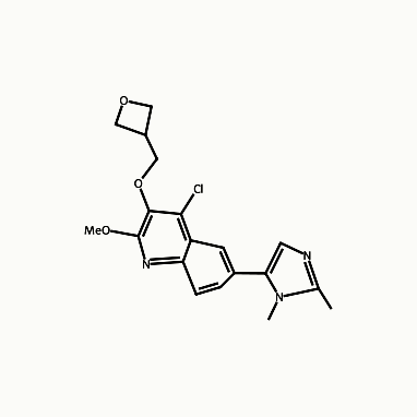 COc1nc2ccc(-c3cnc(C)n3C)cc2c(Cl)c1OCC1COC1